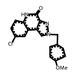 COc1ccc(Cn2cc3c(n2)c(=O)[nH]c2ccc(Cl)cc23)cc1